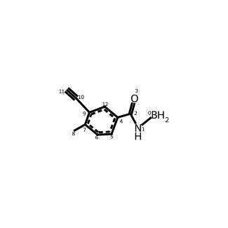 BNC(=O)c1ccc(C)c(C#C)c1